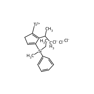 CC[Si](C)(C1=CC[C]([Ti+3])=C1C(C)C)c1ccccc1.[Cl-].[Cl-].[Cl-]